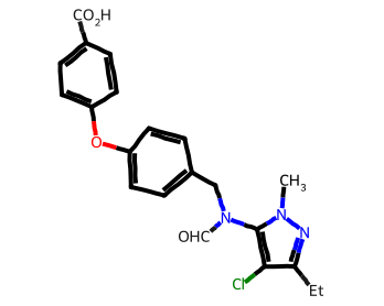 CCc1nn(C)c(N(C=O)Cc2ccc(Oc3ccc(C(=O)O)cc3)cc2)c1Cl